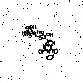 O=P(O)(O)CP(=O)(O)OC[C@H]1O[C@@H](c2cnc3c(N4CCC[C@H]4c4ccccc4)nc(Cl)nn23)[C@H](O)[C@@H]1O